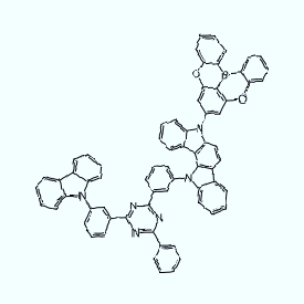 c1ccc(-c2nc(-c3cccc(-n4c5ccccc5c5ccccc54)c3)nc(-c3cccc(-n4c5ccccc5c5ccc6c(c7ccccc7n6-c6cc7c8c(c6)Oc6ccccc6B8c6ccccc6O7)c54)c3)n2)cc1